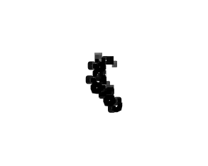 Cc1cc(C)c(CNC(=O)c2cccc(NS(=O)(=O)c3ccc4c(c3)OCCCO4)c2)c(=O)[nH]1